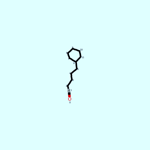 O=BCCCCC1CCCCC1